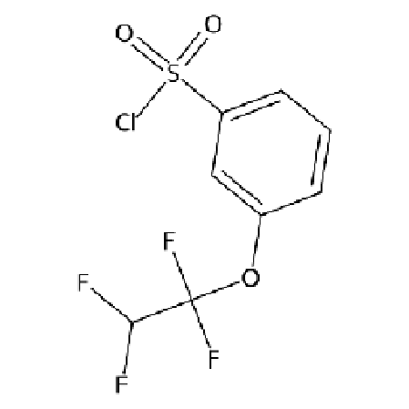 O=S(=O)(Cl)c1cccc(OC(F)(F)C(F)F)c1